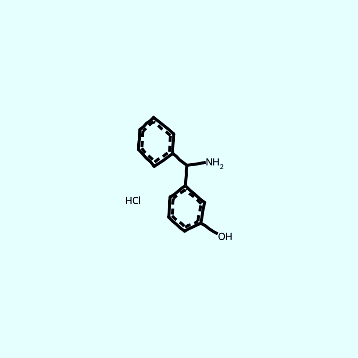 Cl.NC(c1ccccc1)c1cccc(O)c1